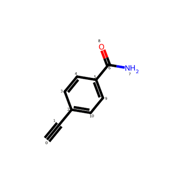 C#Cc1ccc(C(N)=O)cc1